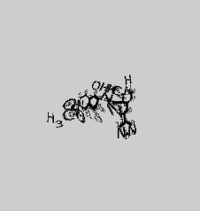 CS(=O)(=O)N1CCc2cc(Nc3nc(-c4cncnc4)cc4c3C(C=O)NC=C4)ccc2C1